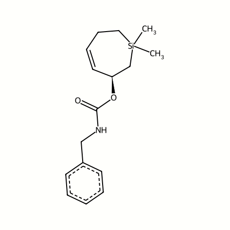 C[Si]1(C)CCC=C[C@H](OC(=O)NCc2ccccc2)C1